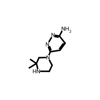 CC1(C)CN(c2ccc(N)nn2)CCN1